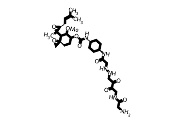 COC1C(OC(=O)N[C@H]2CC[C@H](NC(=O)CNNCC(=O)C(=O)CNC(=O)CN)CC2)CC[C@]2(CO2)C1C1(C)O[C@@H]1CC=C(C)C